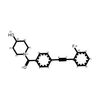 O=C(c1ccc(C#Cc2ccccc2F)cc1)N1CCC(O)CC1